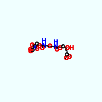 COc1ccc(CCC(O)c2cccc(OCC(=O)NCCCOCCCNC(=O)COc3cccc4c3C(=O)N(C3CCCOOC3)C4=O)c2)cc1OC